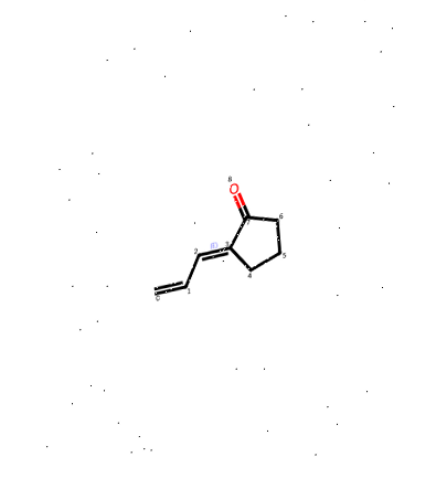 C=C/C=C1\CCCC1=O